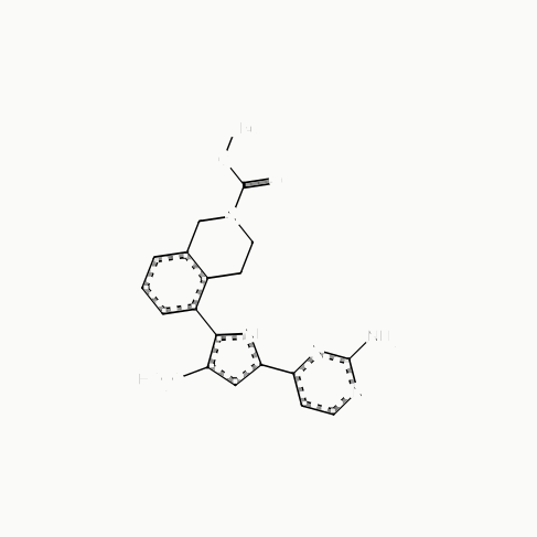 CC(C)(C)OC(=O)N1CCc2c(cccc2-c2[nH]c(-c3ccnc(N)n3)cc2C(=O)O)C1